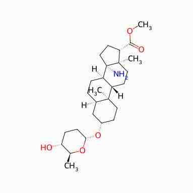 COC(=O)[C@H]1CC[C@]2(N)[C@@H]3CC[C@@H]4C[C@@H](O[C@H]5CC[C@@H](O)[C@H](C)O5)CC[C@]4(C)[C@H]3CC[C@]12C